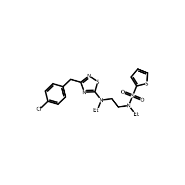 CCN(CCN(CC)S(=O)(=O)c1cccs1)c1nc(Cc2ccc(Cl)cc2)ns1